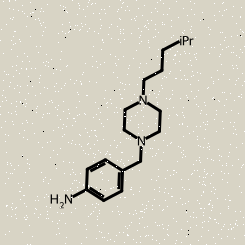 CC(C)CCCN1CCN(Cc2ccc(N)cc2)CC1